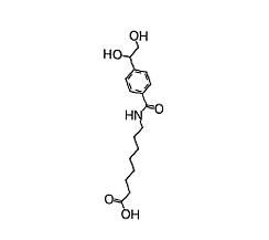 O=C(O)CCCCCCCNC(=O)c1ccc(C(O)CO)cc1